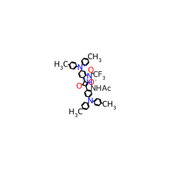 CC(=O)Nc1cc(N(c2ccc(C)cc2)c2ccc(C)cc2)ccc1C1=C([O-])/C(=C2/C=CC(=[N+](c3ccc(C)cc3)c3ccc(C)cc3)C=C2NC(=O)C(F)(F)F)C1=O